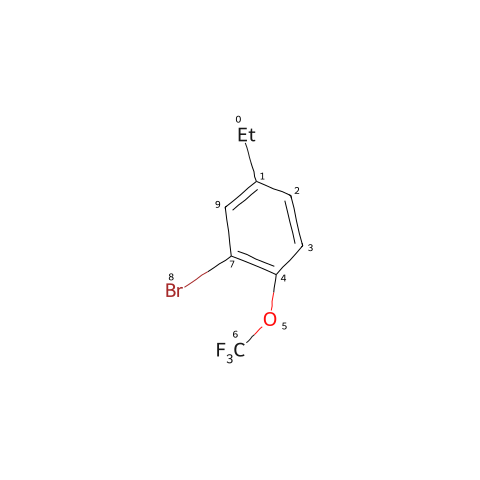 CCc1ccc(OC(F)(F)F)c(Br)c1